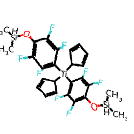 C[SiH](C)Oc1c(F)c(F)[c]([Ti]([c]2c(F)c(F)c(O[SiH](C)C)c(F)c2F)([CH]2C=CC=C2)[CH]2C=CC=C2)c(F)c1F